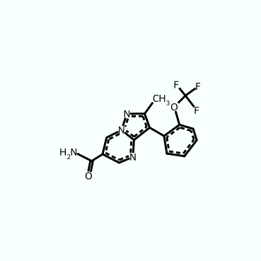 Cc1nn2cc(C(N)=O)cnc2c1-c1ccccc1OC(F)(F)F